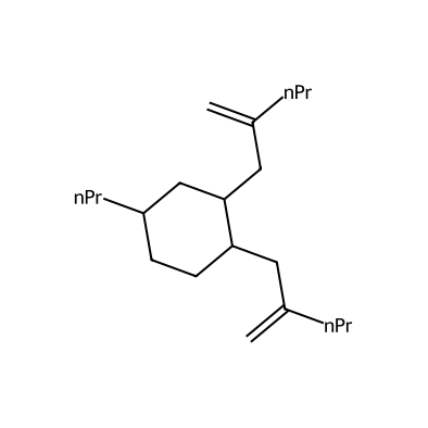 C=C(CCC)CC1CCC(CCC)CC1CC(=C)CCC